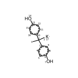 CC(C)(c1ccc(O)cc1)c1ccc(O)cc1.[K]